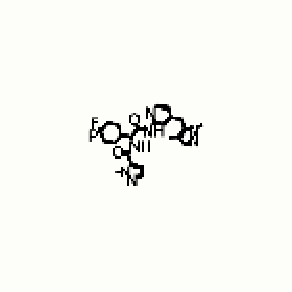 Cc1cnn(C)c1Cc1ccnc(NC(=O)C(NC(=O)c2ccnn2C)C2CCC(F)(F)CC2)c1